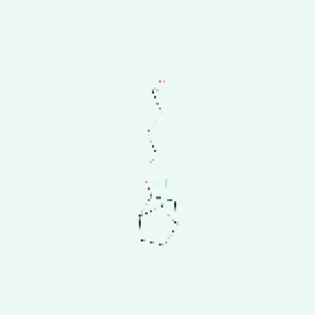 O=[C]CCCOC1CC2[CH]CC1C2(Cl)Cl